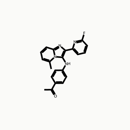 CC(=O)c1ccc(Nc2c(-c3cccc(F)n3)nc3cccc(C)n23)cc1